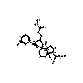 CCNC(=O)CCC(=O)O[C@@]1(C#Cc2cccc(C)c2)CCC[C@@H]2[C@H]1CCN2C(=O)OC